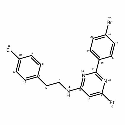 CCc1cc(NCCc2ccc(Cl)cc2)nc(-c2ccc(Br)cc2)n1